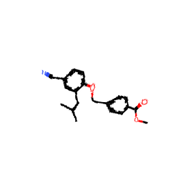 COC(=O)c1ccc(COc2ccc(C#N)cc2CC(C)C)cc1